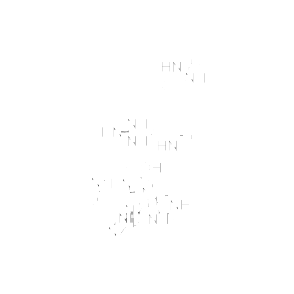 C[C@H](NC(=O)CCCCCNC(=O)CCCCC1SCC2NC(=O)NC21)C(=O)N[C@@H](Cc1cnc[nH]1)C(=O)N[C@@H](CCC(N)=O)C(=O)N[C@@H](CCCNC(=N)N)C(=O)O